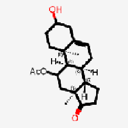 CC(=O)OC1C[C@]2(C)C(=O)CC[C@H]2[C@@H]2CC=C3CC(O)CC[C@]3(C)[C@H]12